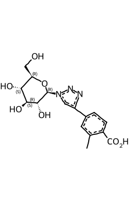 Cc1cc(-c2cn([C@@H]3O[C@H](CO)[C@@H](O)[C@H](O)[C@H]3O)nn2)ccc1C(=O)O